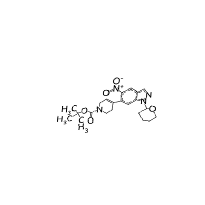 CC(C)(C)OC(=O)N1CC=C(c2cc3c(cnn3C3CCCCO3)cc2[N+](=O)[O-])CC1